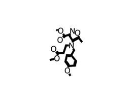 COC(=O)CCN(Cc1ccc(OC)cc1)c1c(C(=O)OC)noc1C